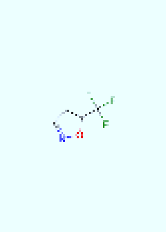 FC(F)(F)C1C[C]=NO1